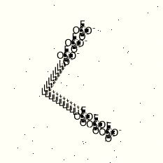 [Li+].[Li+].[Li+].[Li+].[Li+].[Li+].[Li+].[Li+].[Li+].[Li+].[Li+].[Li+].[Li+].[Li+].[Li+].[Li+].[Li+].[Li+].[O-][Si]([O-])([O-])F.[O-][Si]([O-])([O-])F.[O-][Si]([O-])([O-])F.[O-][Si]([O-])([O-])F.[O-][Si]([O-])([O-])F.[O-][Si]([O-])([O-])F